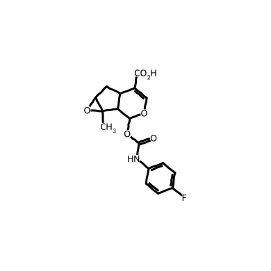 CC12OC1CC1C(C(=O)O)=COC(OC(=O)Nc3ccc(F)cc3)C12